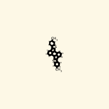 CC1=Cc2sc3c(c2CC1)c1cccc2c1c3c1cccc3c4c5ccc(C)cc5sc4c2c31